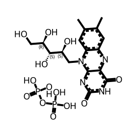 Cc1cc2nc3c(=O)[nH]c(=O)nc-3n(C[C@H](O)[C@H](O)[C@H](O)CO)c2cc1C.O=P(O)(O)OP(=O)(O)O